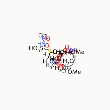 COc1cc2cc(c1Cl)N(C)C(=O)C[C@H](OC(=O)[C@H](C)N(C)C(=O)CCC(C)(C)SSCCC(C(=O)NCCN1C(=O)C=CC1=O)S(=O)(=O)O)[C@]1(C)O[C@H]1[C@H](C)[C@@H]1C[C@@](O)(NC(=O)O1)[C@H](OC)/C=C/C=C(\C)C2